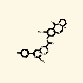 CCCOC(Oc1cc(-c2ccc(F)cc2)nc(C)n1)C(=O)Oc1cc2c(cc1OC)C(=O)N1CCC[C@H]1C=N2